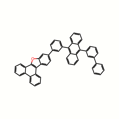 c1ccc(-c2cccc(-c3c4ccccc4c(-c4cccc(-c5ccc6c(c5)oc5c7ccccc7c7ccccc7c65)c4)c4ccccc34)c2)cc1